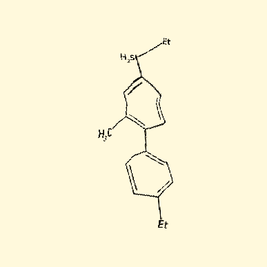 CC[SiH2]c1ccc(-c2ccc(CC)cc2)c(C)c1